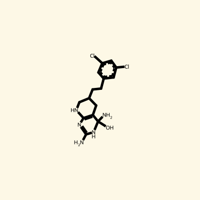 NC1=NC2=C(CC(CCc3cc(Cl)cc(Cl)c3)CN2)C(N)(O)N1